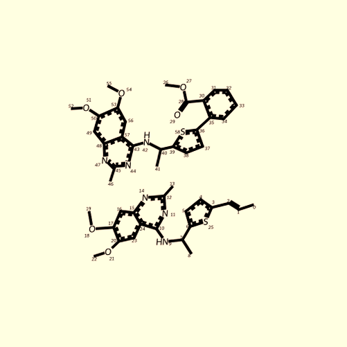 C/C=C/c1ccc(C(C)Nc2nc(C)nc3cc(OC)c(OC)cc23)s1.COC(=O)c1ccccc1-c1ccc(C(C)Nc2nc(C)nc3cc(OC)c(OC)cc23)s1